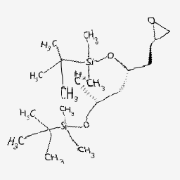 C[C@H](C[C@@H](C[C@@H]1CO1)O[Si](C)(C)C(C)(C)C)O[Si](C)(C)C(C)(C)C